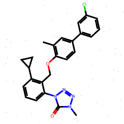 Cc1cc(-c2cccc(Cl)c2)ccc1OCc1c(C2CC2)cccc1-n1nnn(C)c1=O